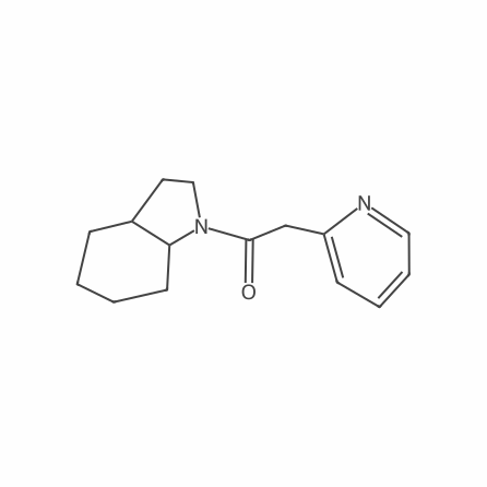 O=C(Cc1ccccn1)N1CCC2CCCCC21